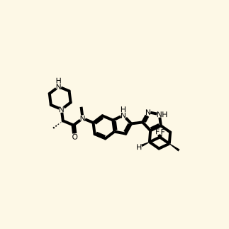 C[C@@H](C(=O)N(C)c1ccc2cc(-c3n[nH]c4c3[C@H]3C[C@@](C)(C4)C3(F)F)[nH]c2c1)N1CCNCC1